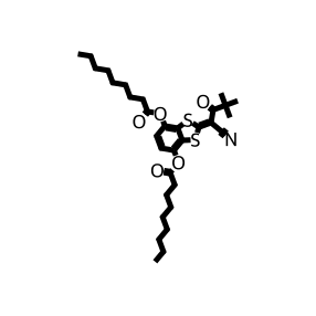 CCCCCCCCC(=O)Oc1ccc(OC(=O)CCCCCCCC)c2c1SC(=C(C#N)C(=O)C(C)(C)C)S2